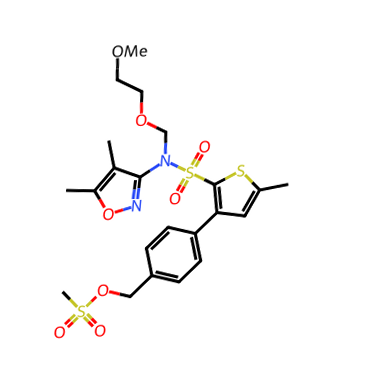 COCCOCN(c1noc(C)c1C)S(=O)(=O)c1sc(C)cc1-c1ccc(COS(C)(=O)=O)cc1